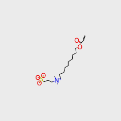 C=CC(=O)OCCCCCCCCCC[N+](C)(C)CCCS(=O)(=O)[O-]